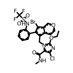 CCOc1nc(Cl)c(C(=O)NC)n1Cc1c2ccocc-2c(Br)c1-c1ccccc1NS(=O)(=O)C(F)(F)F